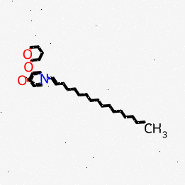 CCCCCCCCCCCCCCCCC=Cn1ccc(=O)c(OC2CCCCO2)c1